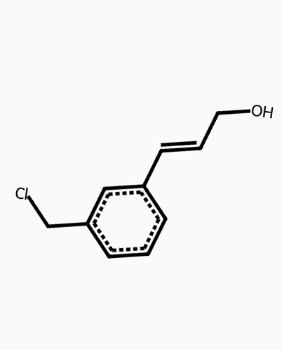 OCC=Cc1cccc(CCl)c1